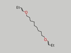 CCC=COCCCCCCCCCCOC=CCC